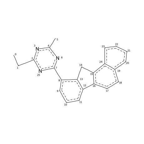 CCc1nc(C)nc(-c2cccc3c2Cc2c-3ccc3ccccc23)n1